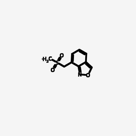 [CH2]S(=O)(=O)Cc1cccc2conc12